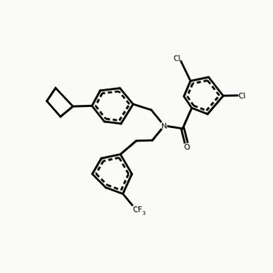 O=C(c1cc(Cl)cc(Cl)c1)N(CCc1cccc(C(F)(F)F)c1)Cc1ccc(C2CCC2)cc1